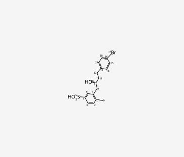 Cc1ccc(S(=O)(=O)O)cc1CC(O)CCc1ccc(Br)cc1